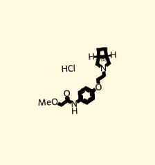 COCC(=O)Nc1ccc(OCCN2C[C@H]3CC[C@H]3C2)cc1.Cl